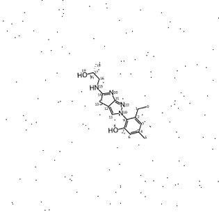 CCc1cc(C)cc(O)c1-n1cc2sc(NC[C@@H](C)O)nc2n1